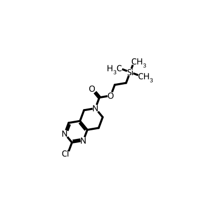 C[Si](C)(C)CCOC(=O)N1CCc2nc(Cl)ncc2C1